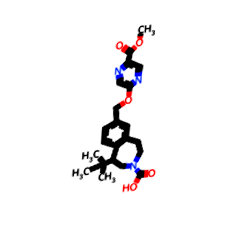 COC(=O)c1cnc(OCc2ccc3c(c2)CCN(C(=O)O)CC3C(C)(C)C)cn1